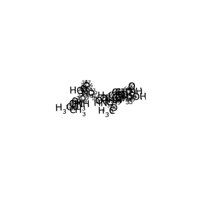 COc1cc(NC(=O)OCCc2ccc(-c3ccccc3)c(N(C(=O)O)C3CCC(NC(=O)OC(C)(C)C)CC3)c2)c(Cl)cc1CNC[C@H](O[Si](C)(C)C(C)(C)C)c1ccc(O)c2[nH]c(=O)ccc12